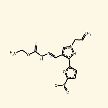 C=CCn1cc(/C=N/NC(=O)OCC)c(-c2ccc([N+](=O)[O-])o2)n1